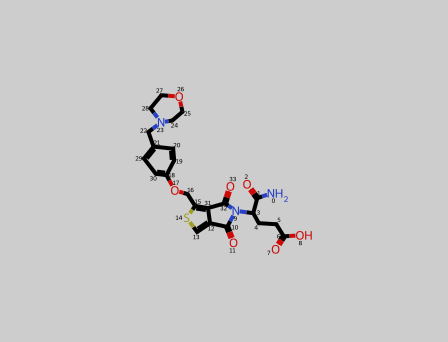 NC(=O)C(CCC(=O)O)N1C(=O)c2csc(COc3ccc(CN4CCOCC4)cc3)c2C1=O